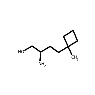 CC1(CC[C@@H](N)CO)CCC1